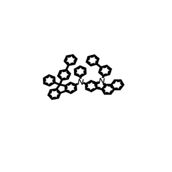 c1ccc(-c2ccc(C3(c4ccccc4)c4ccccc4-c4ccc(N(c5ccccc5)c5ccc6c7ccc8ccccc8c7n(-c7cccc(-c8ccccc8)c7)c6c5)cc43)cc2)cc1